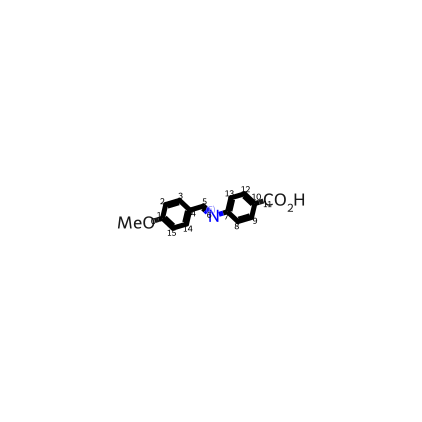 COc1ccc(/C=N/c2ccc(C(=O)O)cc2)cc1